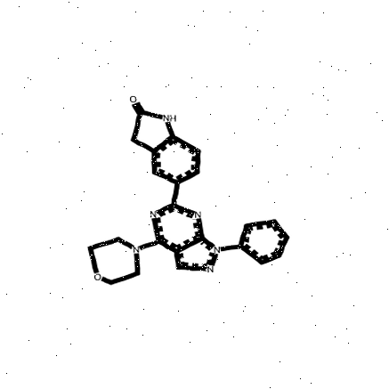 O=C1Cc2cc(-c3nc(N4CCOCC4)c4cnn(-c5ccccc5)c4n3)ccc2N1